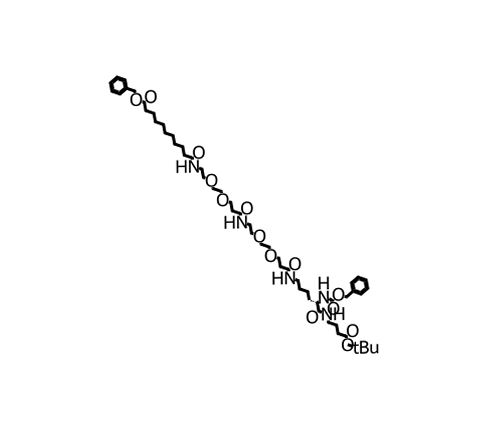 CC(C)(C)OC(=O)CCCNC(=O)[C@H](CCCCNC(=O)CCOCCOCCNC(=O)CCOCCOCCNC(=O)CCCCCCCCCC(=O)OCc1ccccc1)NC(=O)OCc1ccccc1